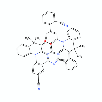 CC1(C)c2ccccc2N(c2ccc(C#N)cc2-c2nc(-c3ccccc3)nc(-c3ccc(-c4ccccc4C#N)cc3N3c4ccccc4C(C)(C)c4ccccc43)n2)c2ccccc21